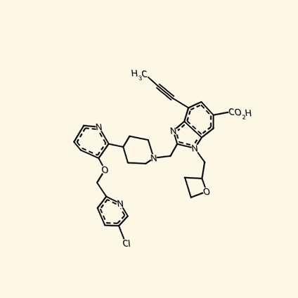 CC#Cc1cc(C(=O)O)cc2c1nc(CN1CCC(c3ncccc3OCc3ccc(Cl)cn3)CC1)n2CC1CCO1